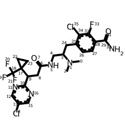 CN(C)C(CNC(=O)CC(c1ncc(Cl)cn1)C1(C(F)(F)F)CC1)Cc1ccc(C(N)=O)c(F)c1Cl